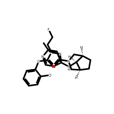 Cc1cc(N2C[C@H]3CC[C@@H](C2)[C@H]3Nc2nc(Oc3ccccc3Cl)n(CCF)n2)ncn1